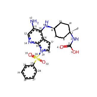 C[C@]1(NC(=O)O)CC[C@@H](Nc2c(N)cnc3c2ccn3S(=O)(=O)c2ccccc2)CC1